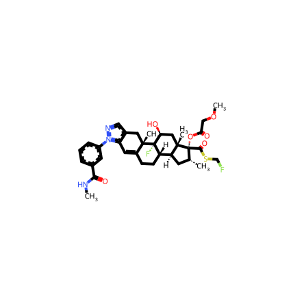 CNC(=O)c1cccc(-n2ncc3c2C=C2CC[C@H]4[C@@H]5C[C@@H](C)[C@](OC(=O)COC)(C(=O)SCF)[C@@]5(C)C[C@H](O)[C@]4(F)[C@@]2(C)C3)c1